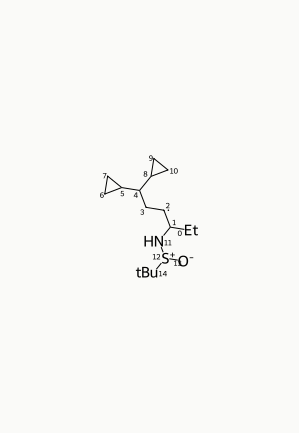 CCC([CH]CC(C1CC1)C1CC1)N[S+]([O-])C(C)(C)C